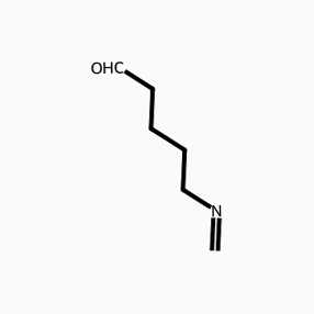 C=NCCCCC=O